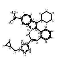 O=C(O)c1ccc2c(C3CCCCC3)c3n(c2c1)CC(c1nnn(CC2CC2)n1)=Cc1ccccc1-3